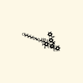 CN(c1ccccc1)c1ccc2c(c1)C(C)(C)c1cc(N(C)c3ccccc3)ccc1[C+]2c1c(F)c(C(=O)NCCOCCOCCCCCCCl)c(F)c(F)c1C(=O)[O-]